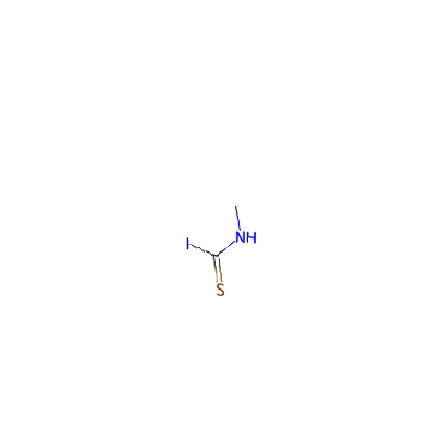 CNC(=S)I